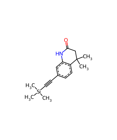 CC1(C)CC(=O)Nc2cc(C#C[Si](C)(C)C)ccc21